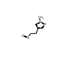 Cn1cc(CCN=O)cn1